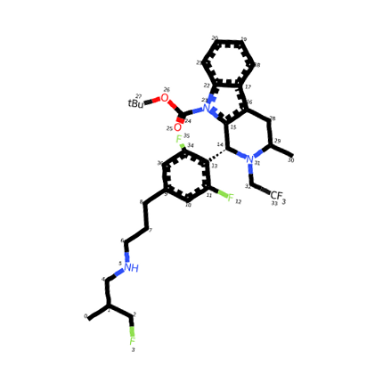 CC(CF)CNCCCc1cc(F)c([C@@H]2c3c(c4ccccc4n3C(=O)OC(C)(C)C)CC(C)N2CC(F)(F)F)c(F)c1